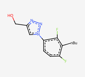 CCCCc1c(F)ccc(-n2cc(CO)nn2)c1F